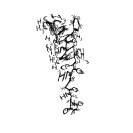 C/C(=C\CN(C)C(=O)C(NC(=O)[C@@H](N(C)C(=O)OC(C)(C)C)C(C)(C)c1ccccc1)C(C)(C)C)C(=O)NCCC(=O)NCCN1C(=O)C=CC1=O